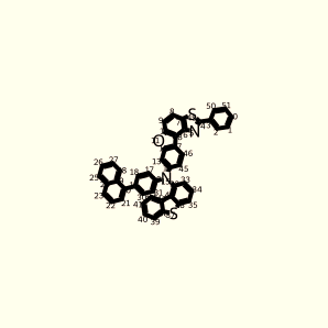 c1ccc(-c2nc3c(ccc4oc5cc(N(c6ccc(-c7cccc8ccccc78)cc6)c6cccc7sc8ccccc8c67)ccc5c43)s2)cc1